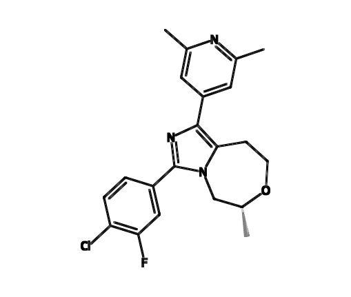 Cc1cc(-c2nc(-c3ccc(Cl)c(F)c3)n3c2CCO[C@H](C)C3)cc(C)n1